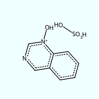 O=S(=O)(O)O.O[n+]1cncc2ccccc21